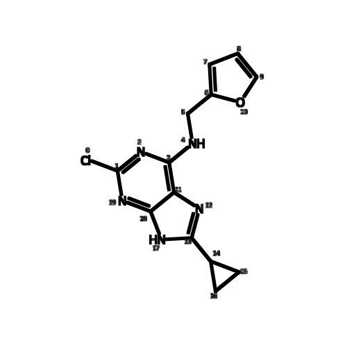 Clc1nc(NCc2ccco2)c2nc(C3CC3)[nH]c2n1